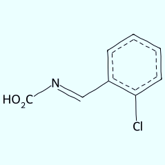 O=C(O)/N=C/c1ccccc1Cl